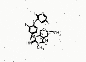 CC[C@H]1C[C@H]2C(=O)N(C)C(=N)N[C@@]2(c2cc(Oc3cc(F)cnc3F)c(F)cc2F)CO1